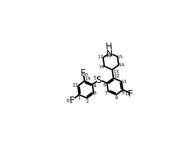 Fc1ccc(Sc2ccc(F)cc2C2CCNCC2)c(F)c1